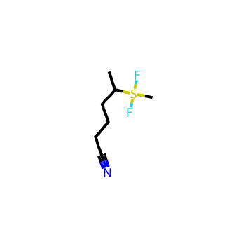 CC(CCCC#N)S(C)(F)F